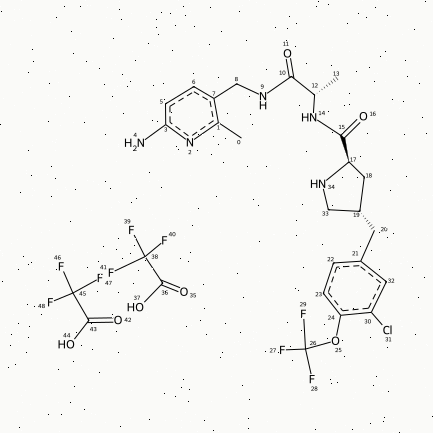 Cc1nc(N)ccc1CNC(=O)[C@H](C)NC(=O)[C@H]1C[C@H](Cc2ccc(OC(F)(F)F)c(Cl)c2)CN1.O=C(O)C(F)(F)F.O=C(O)C(F)(F)F